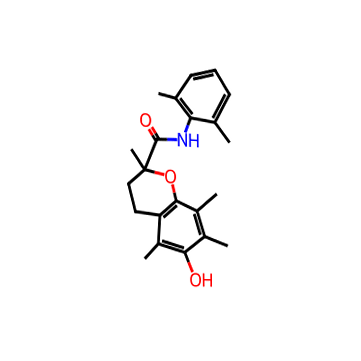 Cc1cccc(C)c1NC(=O)C1(C)CCc2c(C)c(O)c(C)c(C)c2O1